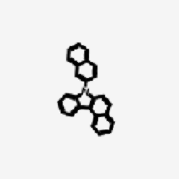 c1ccc2cc(-n3c4ccccc4c4c5ccccc5ccc43)ccc2c1